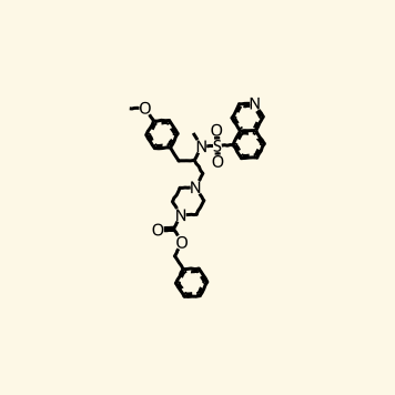 COc1ccc(CC(CN2CCN(C(=O)OCc3ccccc3)CC2)N(C)S(=O)(=O)c2cccc3cnccc23)cc1